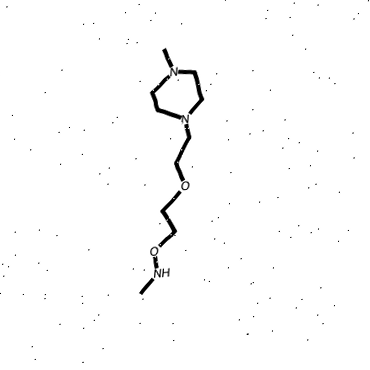 CNOCCOCCN1CCN(C)CC1